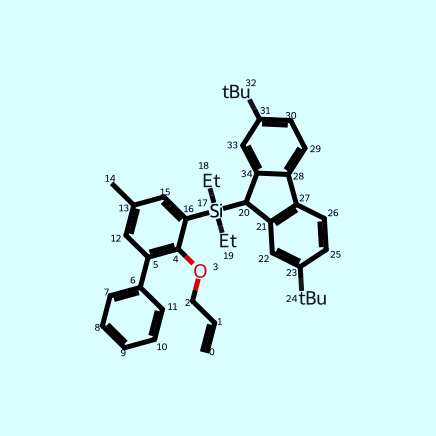 C=CCOc1c(-c2ccccc2)cc(C)cc1[Si](CC)(CC)C1c2cc(C(C)(C)C)ccc2-c2ccc(C(C)(C)C)cc21